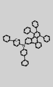 c1ccc(-c2ccc(N(c3ccc(-c4ccccc4)cc3)c3ccc4c(c3)c3ccccc3c3c(-c5ccccc5)cc(-c5ccccc5)c(-c5ccccc5)c43)cc2)cc1